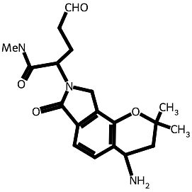 CNC(=O)C(CCC=O)N1Cc2c(ccc3c2OC(C)(C)CC3N)C1=O